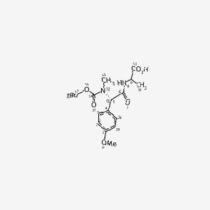 COc1ccc([C@@H](C(=O)NC(C)C(=O)O)N(C)C(=O)OC(C)(C)C)cc1